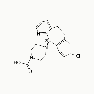 O=C(O)N1CCN([C@@H]2c3ccc(Cl)cc3CCc3cccnc32)CC1